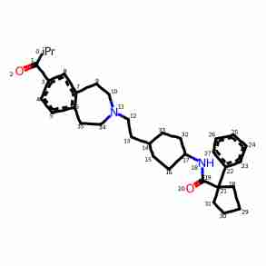 CC(C)C(=O)c1ccc2c(c1)CCN(CCC1CCC(NC(=O)C3(c4ccccc4)CCCC3)CC1)CC2